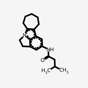 CC(C)CC(=O)Nc1cc2c3c(c1)c1c(n3CC2)CCCCC1